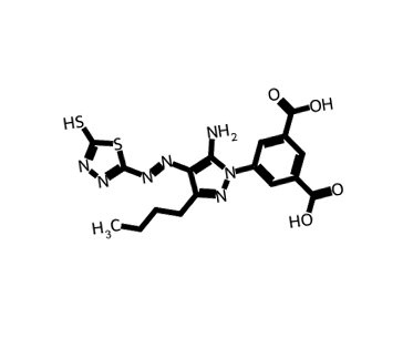 CCCCc1nn(-c2cc(C(=O)O)cc(C(=O)O)c2)c(N)c1/N=N/c1nnc(S)s1